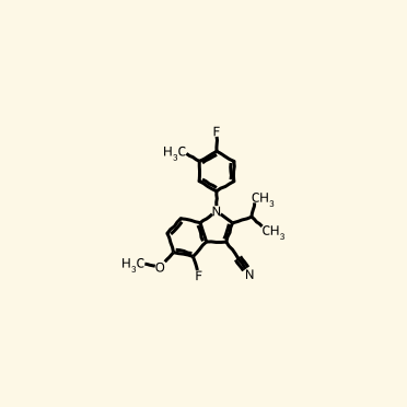 COc1ccc2c(c1F)c(C#N)c(C(C)C)n2-c1ccc(F)c(C)c1